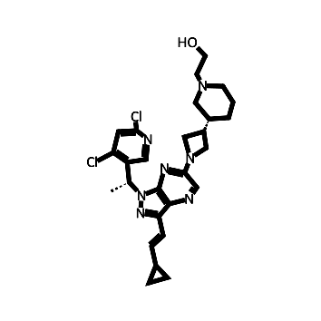 C[C@H](c1cnc(Cl)cc1Cl)n1nc(/C=C/C2CC2)c2ncc(N3CC([C@H]4CCCN(CCO)C4)C3)nc21